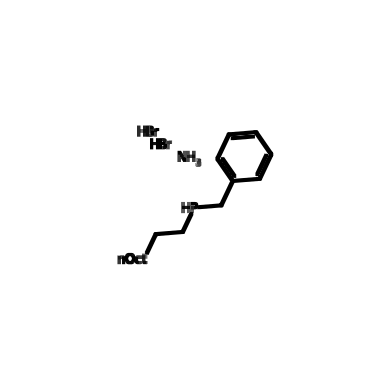 Br.Br.CCCCCCCCCCPCc1ccccc1.N